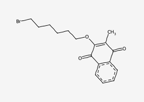 CC1=C(OCCCCCCBr)C(=O)c2ccccc2C1=O